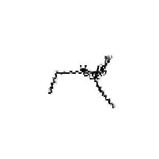 CCCCCCCC/C=C\CCCCCCCC(=O)OC[C@H](COP(=O)([O-])OCC[N+](C)(C)C)OC(=O)CCCCCCCCCCCCC